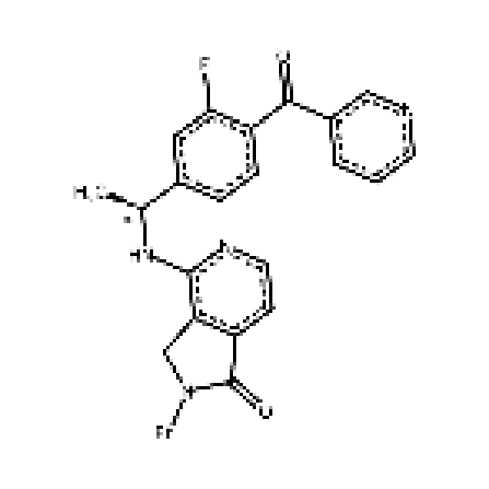 CCN1Cc2c(ccnc2N[C@@H](C)c2ccc(C(=O)c3cccnc3)c(F)c2)C1=O